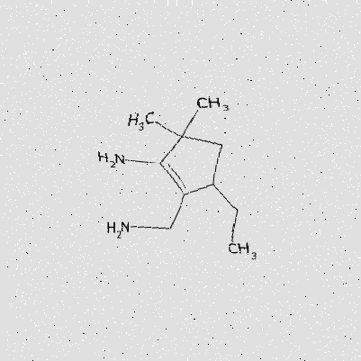 CCC1CC(C)(C)C(N)=C1CN